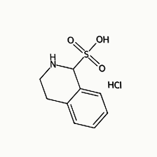 Cl.O=S(=O)(O)C1NCCc2ccccc21